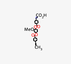 CC#Cc1ccc(C(=O)Oc2ccc(OC(=O)c3ccc(/C=C/C(=O)O)cc3)c(OC)c2)cc1